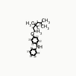 CC(C)CC(C)(C)CCOc1ccc(Nc2ccccc2)cc1